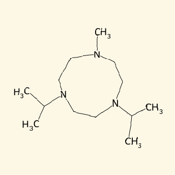 CC(C)N1CCN(C)CCN(C(C)C)CC1